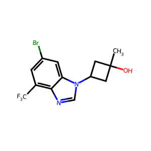 CC1(O)CC(n2cnc3c(C(F)(F)F)cc(Br)cc32)C1